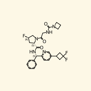 O=C(N[C@@H](c1ccccc1)c1ccc(C2CC(F)(F)C2)cn1)[C@@H]1C[C@@H](F)CN1C(=O)CNC(=O)N1CCC1